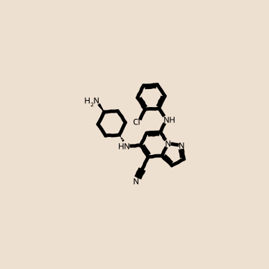 N#Cc1c(N[C@H]2CC[C@H](N)CC2)cc(Nc2ccccc2Cl)n2nccc12